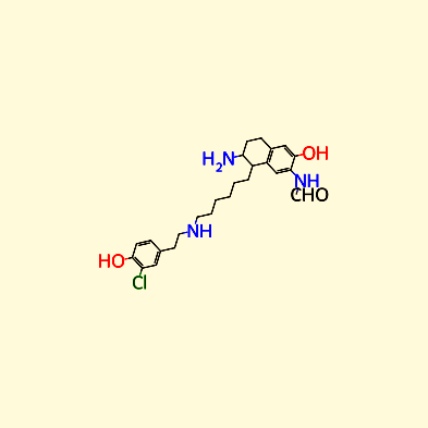 NC1CCc2cc(O)c(NC=O)cc2C1CCCCCCNCCc1ccc(O)c(Cl)c1